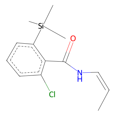 C/C=C\NC(=O)c1c(Cl)cccc1[Si](C)(C)C